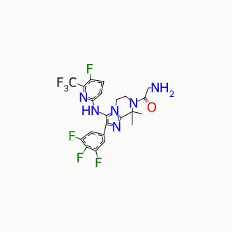 CC1(C)c2nc(-c3cc(F)c(F)c(F)c3)c(Nc3ccc(F)c(C(F)(F)F)n3)n2CCN1C(=O)CN